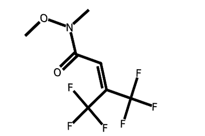 CON(C)C(=O)C=C(C(F)(F)F)C(F)(F)F